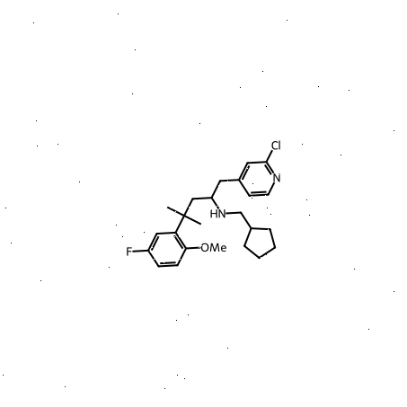 COc1ccc(F)cc1C(C)(C)CC(Cc1ccnc(Cl)c1)NCC1CCCC1